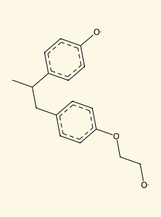 CC(Cc1ccc(OCC[O])cc1)c1ccc([O])cc1